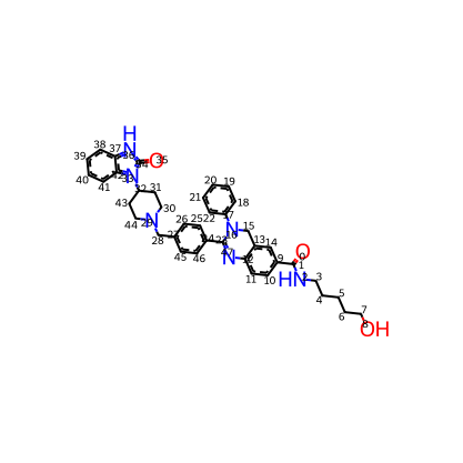 O=C(NCCCCCO)c1ccc2c(c1)CN(c1ccccc1)C(c1ccc(CN3CCC(n4c(=O)[nH]c5ccccc54)CC3)cc1)=N2